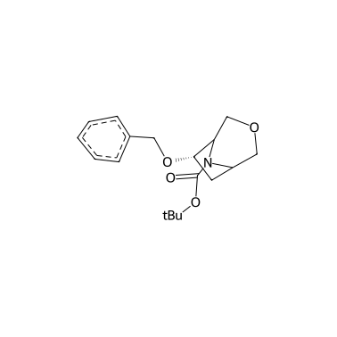 CC(C)(C)OC(=O)N1C2COCC1[C@@H](OCc1ccccc1)C2